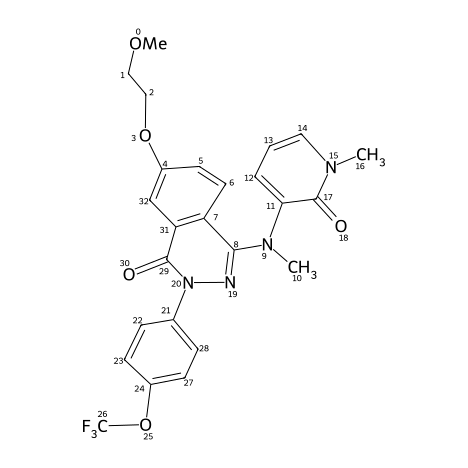 COCCOc1ccc2c(N(C)c3cccn(C)c3=O)nn(-c3ccc(OC(F)(F)F)cc3)c(=O)c2c1